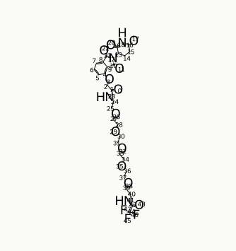 O=C(COc1cccc2c1C(=O)N(C1CCC(=O)NC1=O)C2=O)NCCOCCOCCOCCOCCOCCNC(=O)C(F)(F)F